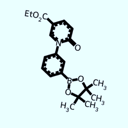 CCOC(=O)c1ccc(=O)n(-c2cccc(B3OC(C)(C)C(C)(C)O3)c2)c1